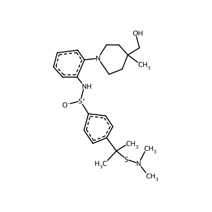 CN(C)SC(C)(C)c1ccc([S+]([O-])Nc2ccccc2N2CCC(C)(CO)CC2)cc1